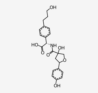 O=C(O)[C@@H](NC(=O)C1(O)COC(c2ccc(O)cc2)C1)c1ccc(CCCO)cc1